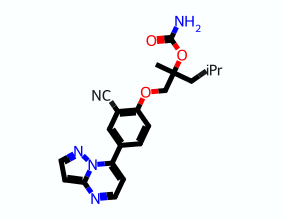 CC(C)CC(C)(COc1ccc(-c2ccnc3ccnn23)cc1C#N)OC(N)=O